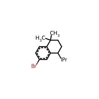 CC(C)C1CCC(C)(C)c2ccc(Br)cc21